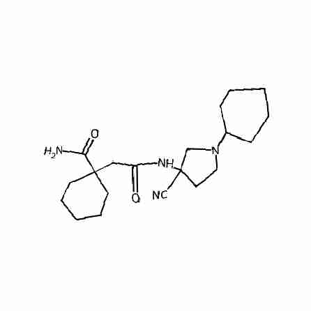 N#CC1(NC(=O)[CH]C2(C(N)=O)CCCCC2)CCN(C2CCCCC2)C1